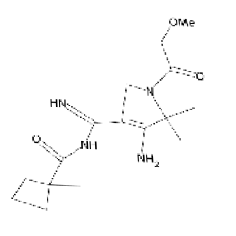 COCC(=O)N1CC(C(=N)NC(=O)C2(C)CCC2)=C(N)C1(C)C